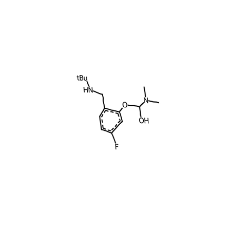 CN(C)C(O)Oc1cc(F)ccc1CNC(C)(C)C